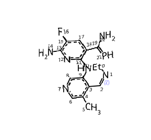 CC/N=C\c1c(C)cncc1Nc1nc(N)c(F)cc1C(N)=P